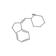 C(=C1\CCc2ccccc21)/C1CCCCN1